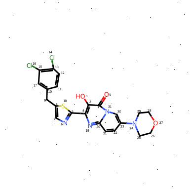 O=c1c(O)c(-c2ncc(Cc3ccc(Cl)c(Cl)c3)s2)nc2ccc(N3CCOCC3)cn12